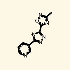 Cc1noc(C2=NN=C(c3cccnc3)[N]2)n1